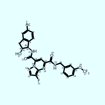 CC(=O)c1ccc2c(c1)C[C@H](O)[C@@H]2NC(=O)c1cc(C(=O)NCc2cccc(OC(F)(F)F)c2)nc2c(F)cnn12